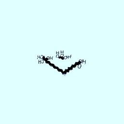 O=C(O)CCCCCCC/C=C\CCCCCCCCC(O)C(O)CO.OCC(O)CO